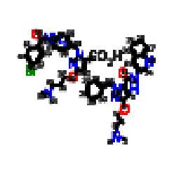 CN(C)CCCOc1cc(C(=O)Nc2cnc3ccccc3c2)n(Cc2ccccc2)n1.CN(C)CCCOc1cc(C(=O)O)n(Cc2ccccc2)n1.NC(=O)c1ccc(Br)cc1